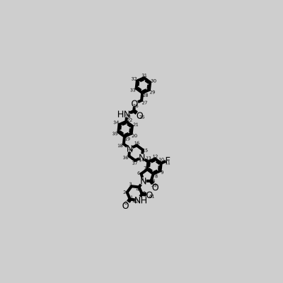 O=C1CCC(N2Cc3c(cc(F)cc3N3CCN(Cc4ccc(NC(=O)OCc5ccccc5)cc4)CC3)C2=O)C(=O)N1